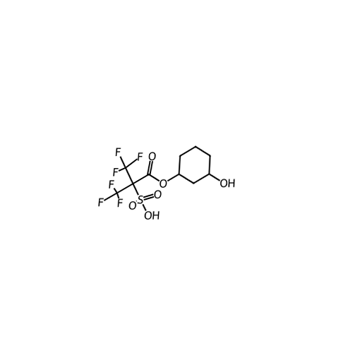 O=C(OC1CCCC(O)C1)C(C(F)(F)F)(C(F)(F)F)S(=O)(=O)O